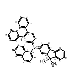 C\C=C(/C=C\C(=C\c1ccccc1)c1ccccc1)N(c1ccc2c(c1)C(C)(C)c1ccccc1-2)c1cccc2ccccc12